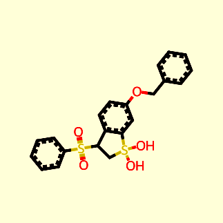 O=S(=O)(c1ccccc1)C1CS(O)(O)c2cc(OCc3ccccc3)ccc21